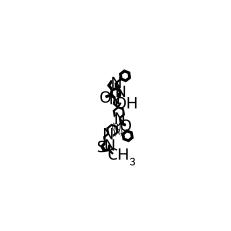 Cc1csc(CN2CC[C@@H](C(=O)N3CCC(O)(Cn4cnc5c(ccn5-c5ccccc5)c4=O)CC3)[C@H](c3ccccc3)C2)n1